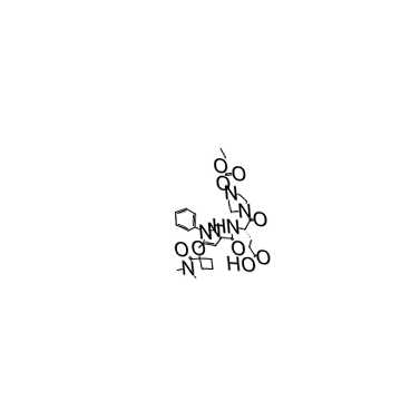 CCOC(=O)ON1CCN(C(=O)[C@H](CCC(=O)O)NC(=O)c2cc(OC3(C(=O)N(C)C)CCC3)n(-c3ccccc3)n2)CC1